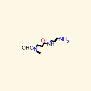 C=CN(C=O)CCC(=O)NCC=CN